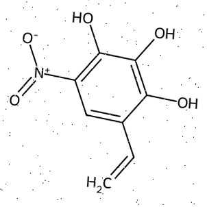 C=Cc1cc([N+](=O)[O-])c(O)c(O)c1O